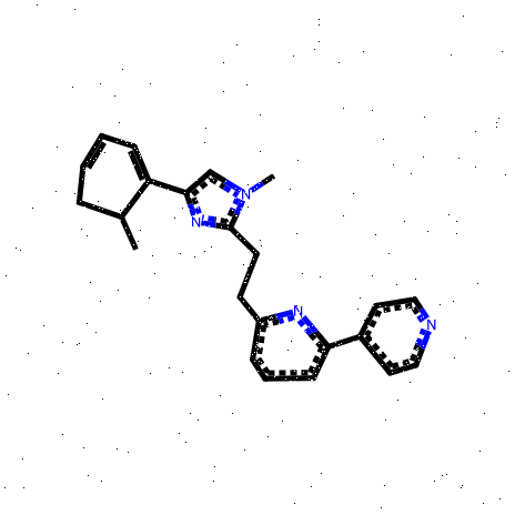 CC1CC=CC=C1c1cn(C)c(CCc2cccc(-c3ccncc3)n2)n1